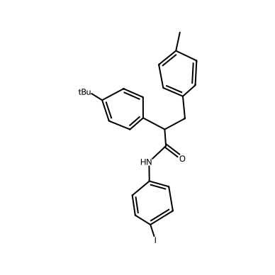 Cc1ccc(CC(C(=O)Nc2ccc(I)cc2)c2ccc(C(C)(C)C)cc2)cc1